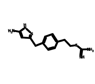 N=C(N)SCCc1ccc(Cc2cc(N)[nH]n2)cc1